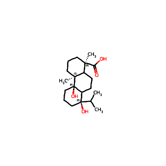 CC(C)[C@]1(O)CCC[C@@]2(O)C1CCC1[C@](C)(C(=O)O)CCC[C@@]12C